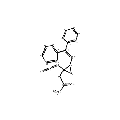 COC(=O)CC1(N=[N+]=[N-])CC1N=C(c1ccccc1)c1ccccc1